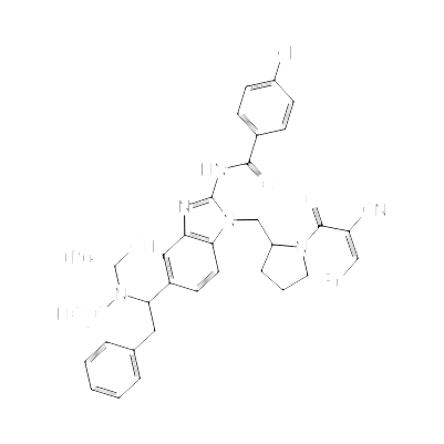 CC(C)C=C(C#N)C(=O)N1CCCC1Cn1c(NC(=O)c2ccc(Cl)cc2)nc2cc(C(Cc3ccccc3)N(C(=O)O)[C@@H](C)C(C)(C)C)ccc21